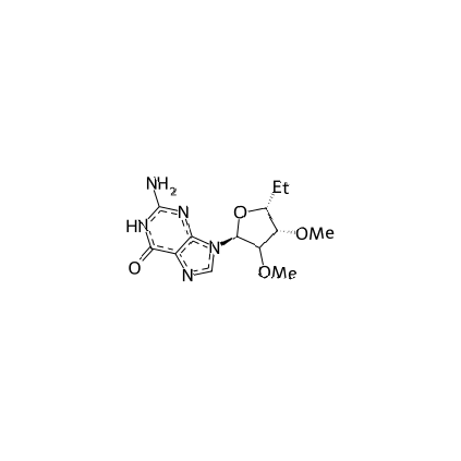 CC[C@H]1O[C@H](n2cnc3c(=O)[nH]c(N)nc32)C(OC)[C@H]1OC